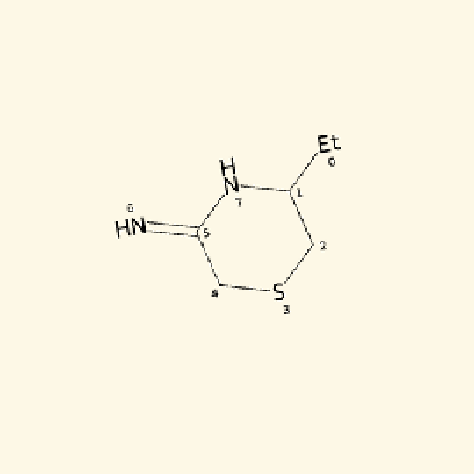 CCC1CSCC(=N)N1